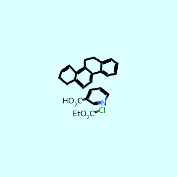 C1=Cc2c(ccc3c2CCc2ccccc2-3)CC1.CCOC(=O)Cl.O=C(O)c1cccnc1